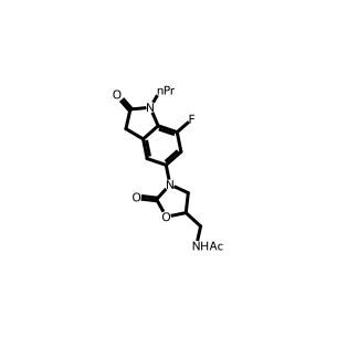 CCCN1C(=O)Cc2cc(N3CC(CNC(C)=O)OC3=O)cc(F)c21